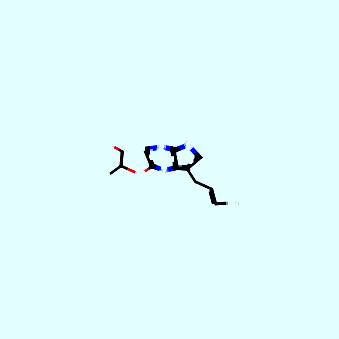 CC(CO)Oc1cnc2[nH]cc(CC=CC#N)c2n1